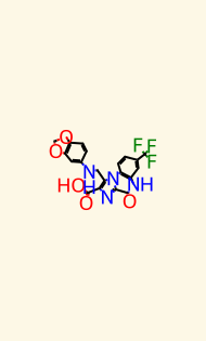 O=C(O)c1nc2c(=O)[nH]c3cc(C(F)(F)F)ccc3n2c1CNc1ccc2c(c1)OCO2